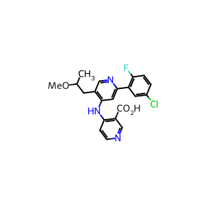 COC(C)Cc1cnc(-c2cc(Cl)ccc2F)cc1Nc1ccncc1C(=O)O